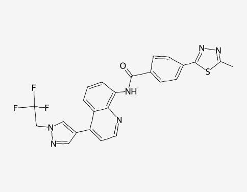 Cc1nnc(-c2ccc(C(=O)Nc3cccc4c(-c5cnn(CC(F)(F)F)c5)ccnc34)cc2)s1